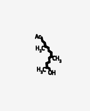 CC(=O)CC/C=C(\C)CC/C=C(/C)CCC=C(C)CO